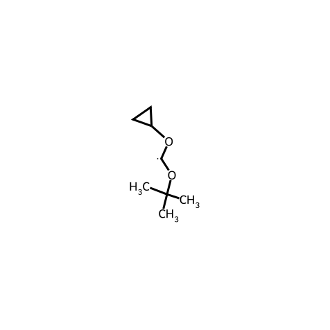 CC(C)(C)O[CH]OC1CC1